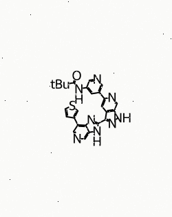 CC(C)(C)C(=O)Nc1cncc(-c2cc3c(-c4nc5c(-c6ccsc6)cncc5[nH]4)n[nH]c3cn2)c1